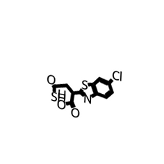 O=C(S)CC(C(=O)O)c1nc2ccc(Cl)cc2s1